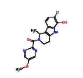 COc1cnc(C(=O)N2CCc3[nH]c4c(O)c(Cl)ccc4c3C2C)nc1